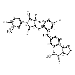 CC(C)(C)OC(=O)N1CCN=C1c1ccc(Nc2cc(F)ccc2CN2C(=O)N(c3ccc(F)c(C(F)(F)F)c3)C(=O)C2(C)C)cc1